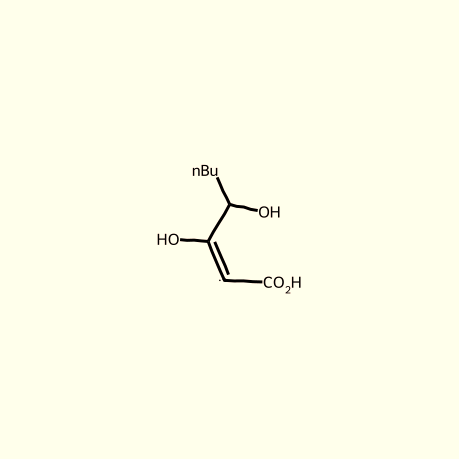 CCCCC(O)/C(O)=[C]\C(=O)O